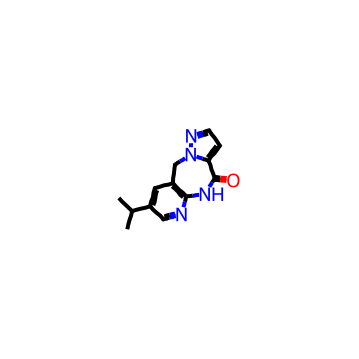 CC(C)c1cnc2c(c1)Cn1nccc1C(=O)N2